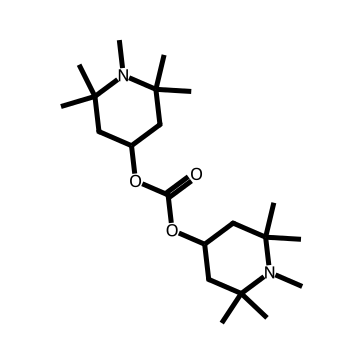 CN1C(C)(C)CC(OC(=O)OC2CC(C)(C)N(C)C(C)(C)C2)CC1(C)C